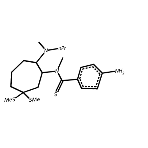 CCCN(C)C1CCCC(SC)(SC)CC1N(C)C(=S)c1ccc(N)cc1